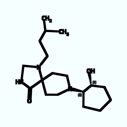 CC(C)CCN1CNC(=O)C12CCN([C@@H]1CCCC[C@H]1O)CC2